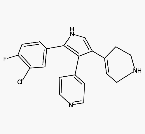 Fc1ccc(-c2[nH]cc(C3=CCNCC3)c2-c2ccncc2)cc1Cl